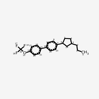 CCCC1CCC(c2ccc(-c3ccc(OC(F)(F)F)cc3)cc2)C1